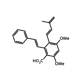 C=C(C)C=Cc1c(OC)cc(OC)c(C(=O)O)c1C=Cc1ccccc1